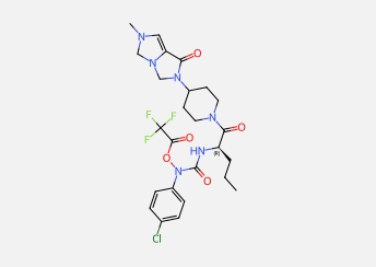 CCC[C@@H](NC(=O)N(OC(=O)C(F)(F)F)c1ccc(Cl)cc1)C(=O)N1CCC(N2CN3CN(C)C=C3C2=O)CC1